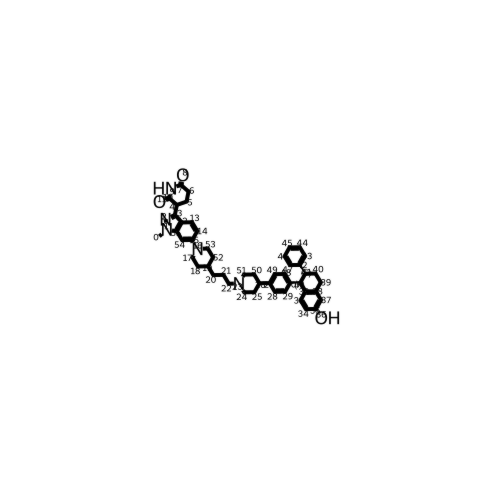 Cn1nc(C2CCC(=O)NC2=O)c2ccc(N3CCC(CCCN4CCC(c5ccc([C@@H]6c7ccc(O)cc7CC[C@@H]6c6ccccc6)cc5)CC4)CC3)cc21